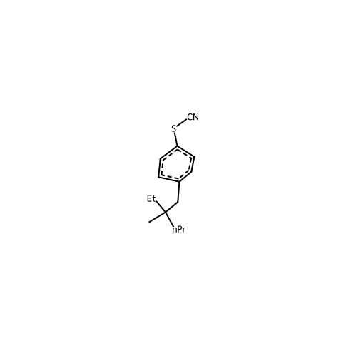 CCCC(C)(CC)Cc1ccc(SC#N)cc1